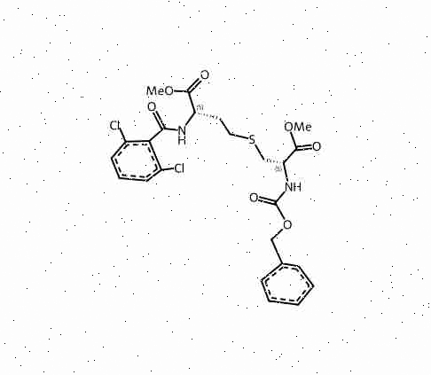 COC(=O)[C@H](CCSC[C@@H](NC(=O)OCc1ccccc1)C(=O)OC)NC(=O)c1c(Cl)cccc1Cl